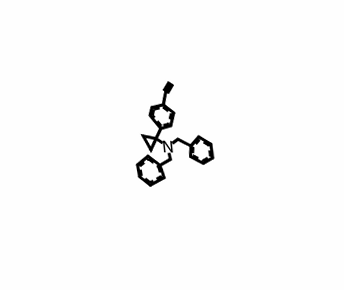 C#Cc1ccc(C2(N(Cc3ccccc3)Cc3ccccc3)CC2)cc1